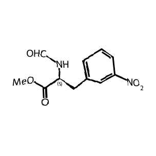 COC(=O)[C@H](Cc1cccc([N+](=O)[O-])c1)NC=O